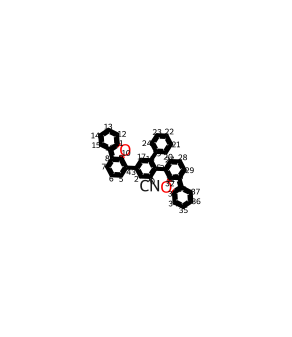 N#Cc1cc(-c2cccc3c2oc2ccccc23)cc(-c2ccccc2)c1-c1cccc2c1oc1ccccc12